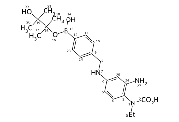 CCN(C(=O)O)c1ccc(NCc2ccc(B(O)OC(C)(C)C(C)(C)O)cc2)cc1N